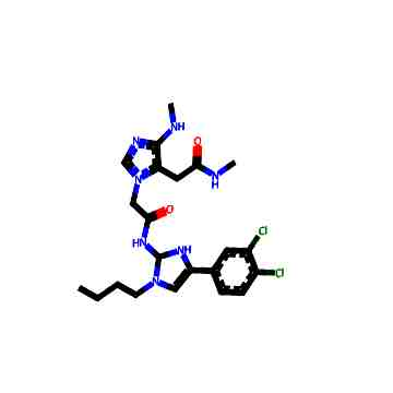 CCCCN1C=C(c2ccc(Cl)c(Cl)c2)NC1NC(=O)Cn1cnc(NC)c1CC(=O)NC